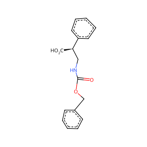 O=C(NC[C@@H](C(=O)O)c1ccccc1)OCc1ccccc1